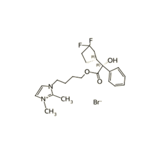 Cc1n(CCCCOC(=O)[C@](O)(c2ccccc2)[C@@H]2CCC(F)(F)C2)cc[n+]1C.[Br-]